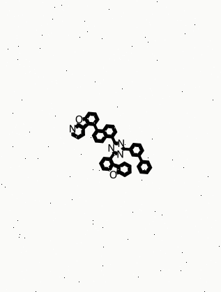 c1ccc(-c2cccc(-c3nc(-c4cccc5c(-c6cccc7oc8ncccc8c67)cccc45)nc(-c4cccc5oc6ccccc6c45)n3)c2)cc1